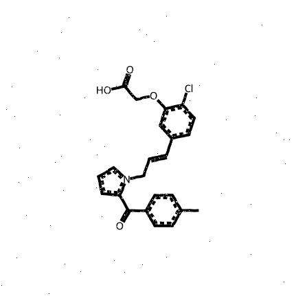 Cc1ccc(C(=O)c2cccn2CC=Cc2ccc(Cl)c(OCC(=O)O)c2)cc1